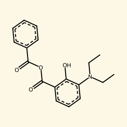 CCN(CC)c1cccc(C(=O)OC(=O)c2ccccc2)c1O